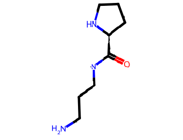 NCCC[N]C(=O)[C@@H]1CCCN1